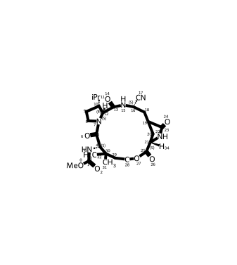 COC(=O)N[C@@H]1C(=O)N2CC[C@H](C(C)C)[C@H]2C(=O)N[C@H](C#N)CC2C[C@H](NC2=O)C(=O)OCCC1(C)C